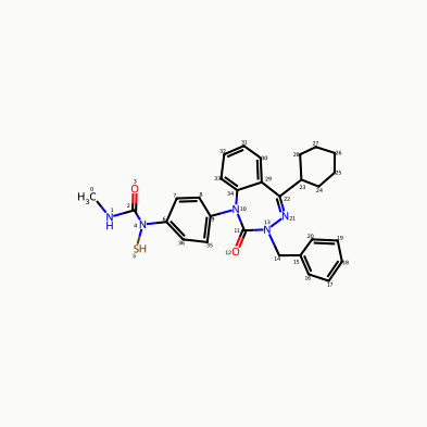 CNC(=O)N(S)c1ccc(N2C(=O)N(Cc3ccccc3)N=C(C3CCCCC3)c3ccccc32)cc1